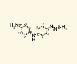 NN=Nc1ccc(Nc2ccc(N)cc2)cc1